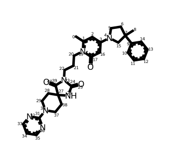 Cc1cc(N2CCC(C)(c3ccccc3)C2)cc(=O)n1CCCN1C(=O)NC2(CCN(c3ncccn3)CC2)C1=O